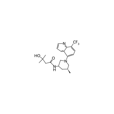 C[C@H]1CC(NC(=O)CC(C)(C)O)CN(c2ccc(C(F)(F)F)c3ncccc23)C1